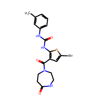 Cc1cccc(NC(=O)Nc2sc(C(C)(C)C)cc2C(=O)N2CCNC(=O)CC2)c1